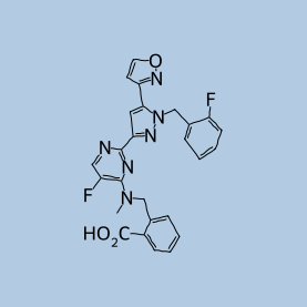 CN(Cc1ccccc1C(=O)O)c1nc(-c2cc(-c3ccon3)n(Cc3ccccc3F)n2)ncc1F